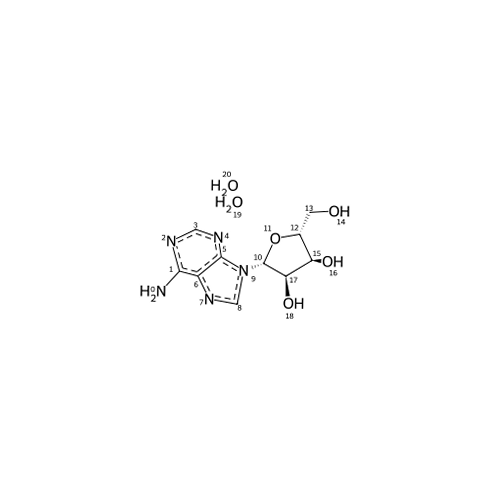 Nc1ncnc2c1ncn2[C@@H]1O[C@H](CO)[C@@H](O)[C@H]1O.O.O